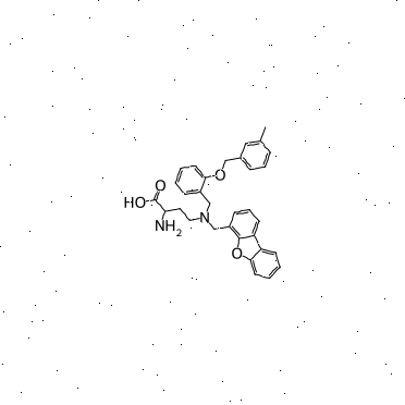 Cc1cccc(COc2ccccc2CN(CCC(N)C(=O)O)Cc2cccc3c2oc2ccccc23)c1